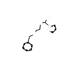 CC(OCCOCc1ccccc1)n1cccn1